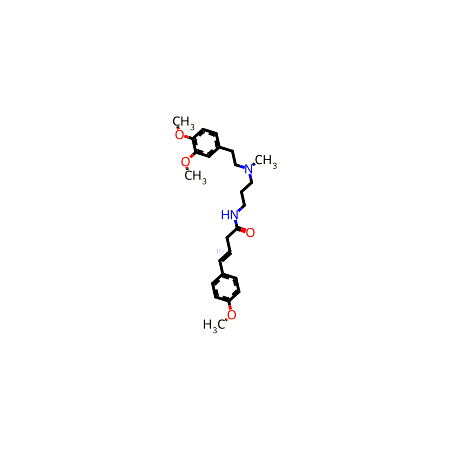 COc1ccc(/C=C/CC(=O)NCCCN(C)CCc2ccc(OC)c(OC)c2)cc1